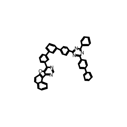 c1ccc(-c2ccc(-c3nc(-c4ccccc4)nc(-c4ccc(-c5cccc(-c6cccc(-c7ncnc8c7oc7ccc9ccccc9c78)c6)c5)cc4)n3)cc2)cc1